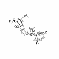 COc1ccc(C(=O)N2CCCC(CNc3nc(-c4c[nH]c5ncc(Cl)cc45)ncc3F)C2)c(OC)c1